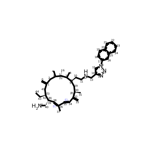 C=C1CC(C)[C@H](C)C(C)[C@@H](CCNCc2cn(-c3ccc4ccccc4c3)nn2)C[C@@H](C)C(=C)/C=C/C(C)=C/[C@H](CN)[C@@H](CC)C1